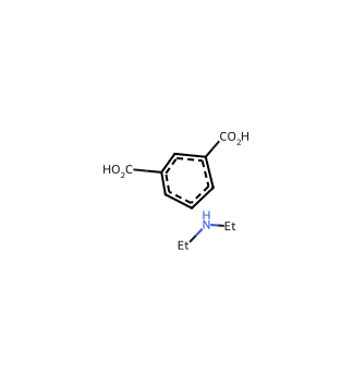 CCNCC.O=C(O)c1cccc(C(=O)O)c1